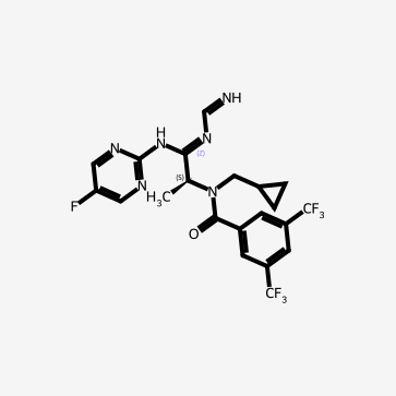 C[C@@H](/C(=N/C=N)Nc1ncc(F)cn1)N(CC1CC1)C(=O)c1cc(C(F)(F)F)cc(C(F)(F)F)c1